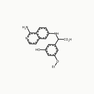 CCOc1cc(O)cc(C(Nc2ccc3c(N)nccc3c2)C(=O)O)c1